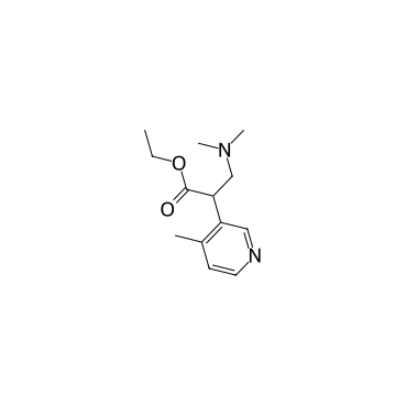 CCOC(=O)C(CN(C)C)c1cnccc1C